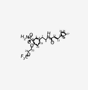 NS(=O)(=O)c1cc(CCNC(=O)C=Cc2cccs2)ccc1OCCOC(F)(F)F